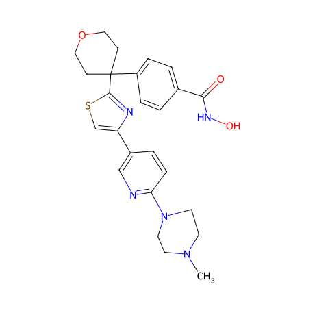 CN1CCN(c2ccc(-c3csc(C4(c5ccc(C(=O)NO)cc5)CCOCC4)n3)cn2)CC1